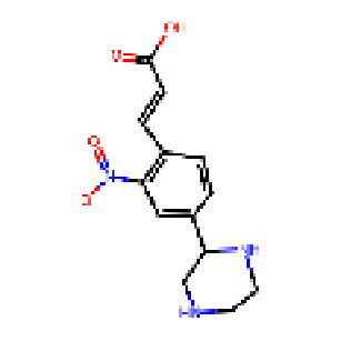 O=C(O)C=Cc1ccc(C2CNCCN2)cc1[N+](=O)[O-]